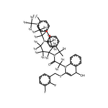 [2H]C([2H])([2H])OC([2H])([2H])C([2H])([2H])N1C([2H])([2H])C([2H])([2H])C([2H])(N(C(=O)C([2H])([2H])N2C(SCc3cccc(F)c3F)=CC(O)c3ccccc32)C([2H])(C)c2ccc(-c3ccc(C(F)(F)F)cc3)cc2)C([2H])([2H])C1([2H])[2H]